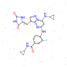 O=C1NC(=O)/C(=C/c2cnn3c(NC4CC4)cc(Nc4ccc(C(=O)NC5CC5)cc4F)nc23)N1